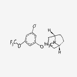 CN1[C@@H]2CC[C@H]1C[C@@H](Oc1cc(Cl)cc(OC(F)(F)F)c1)C2